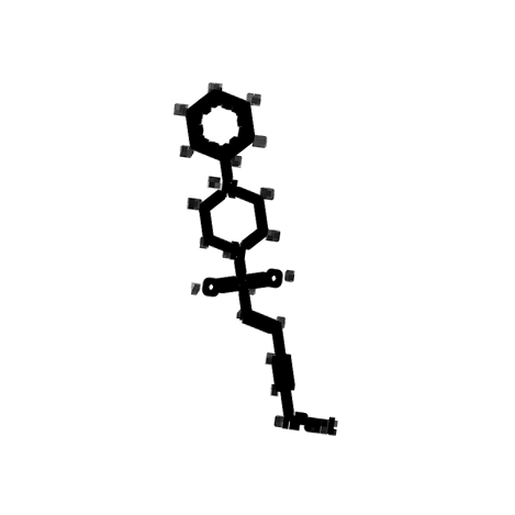 CCCCCC#C/C=C/S(=O)(=O)N1CCN(c2ccccc2)CC1